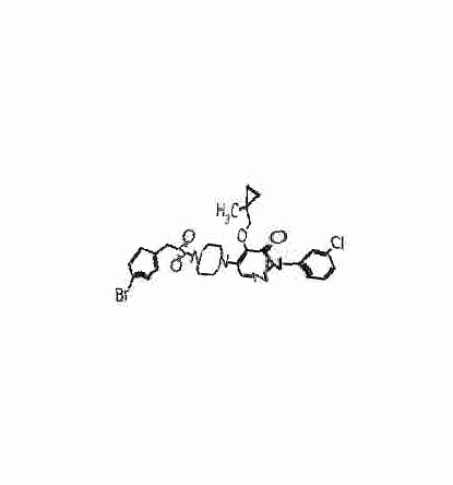 CC1(COc2c(N3CCN(S(=O)(=O)Cc4ccc(Br)cc4)CC3)cnn(-c3cccc(Cl)c3)c2=O)CC1